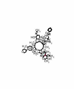 CO/N=C1\C[C@@H](C)O[C@@H](O[C@@H]2[C@@H](C)[C@H](O[C@H]3CC(C)N(C4CCOCC4)C[C@H](C)O3)[C@@H](C)C(=O)O[C@H](C(C)CO[C@@H]3O[C@H](C)[C@@H](O)[C@@H](OC)[C@H]3OC)[C@H](C)[C@@H](OC(=O)CC(C)C)[C@@H](C)C(=O)[C@@](C)(OC(=O)NC(C)(C)CNS(=O)(=O)c3ccccc3)C[C@@H]2C)[C@@H]1O